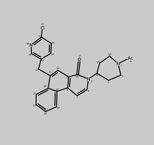 CC(=O)N1CCC(n2ccc3c(cc(Cc4ccc(Cl)nc4)c4ccccc43)c2=O)CC1